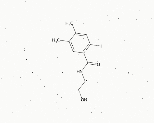 Cc1cc(I)c(C(=O)NCCO)cc1C